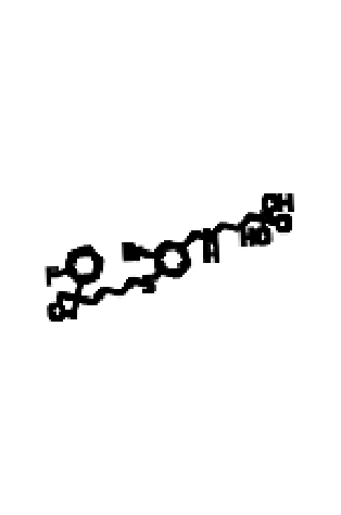 O=P(O)(O)CCCNCc1ccc(SCCCCC2(c3ccccc3F)COC2)c(Br)c1